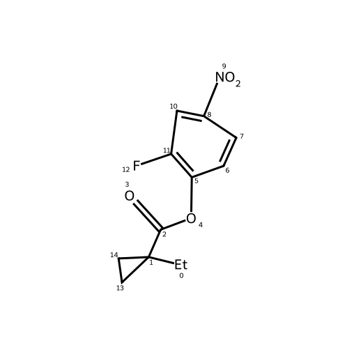 CCC1(C(=O)Oc2ccc([N+](=O)[O-])cc2F)CC1